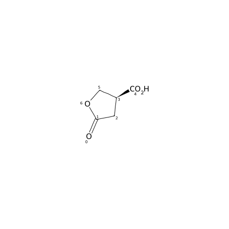 O=C1C[C@H](C(=O)O)CO1